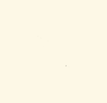 CC(C)(C#N)SC(=S)SCCC[SiH3]